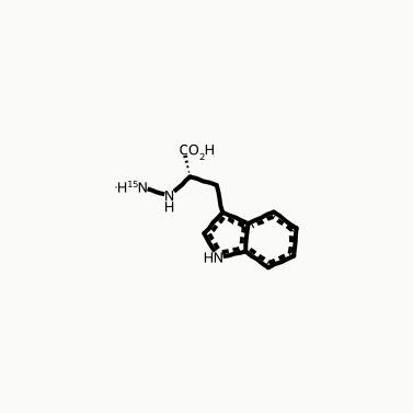 [15NH]N[C@@H](Cc1c[nH]c2ccccc12)C(=O)O